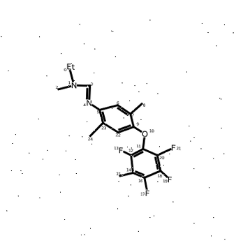 CCN(C)C=Nc1cc(C)c(Oc2c(F)c(C)c(F)c(F)c2F)cc1C